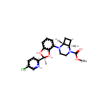 CC(C)(C)OC(=O)N1CCN(c2cccc3c2O[C@@](C)(c2ccc(Cl)cn2)O3)[C@@H]2CC[C@H]21